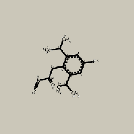 CC(C)c1cc(F)cc(C(C)C)c1CC(=O)N=S